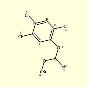 CCCCOC(CCC)Oc1cc(Cl)c(Cl)cc1Cl